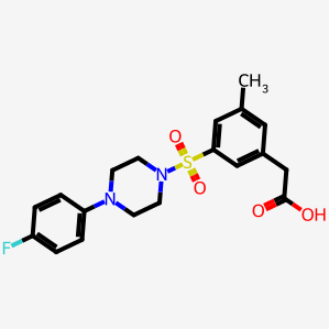 Cc1cc(CC(=O)O)cc(S(=O)(=O)N2CCN(c3ccc(F)cc3)CC2)c1